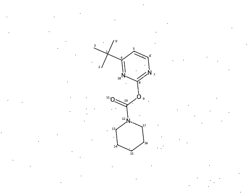 CC(C)(C)c1ccnc(OC(=O)N2CCCCC2)n1